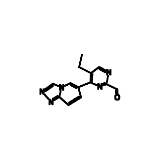 CCc1cnc(C=O)nc1-c1ccc2nncn2c1